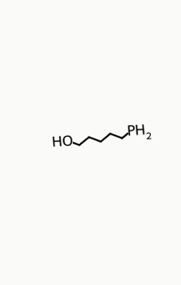 OCCCCCP